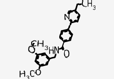 CCc1ccc(-c2ccc(C(=O)NCc3cc(OC)cc(OC)c3)cc2)nc1